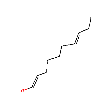 CCC=CCCCCC=C[O]